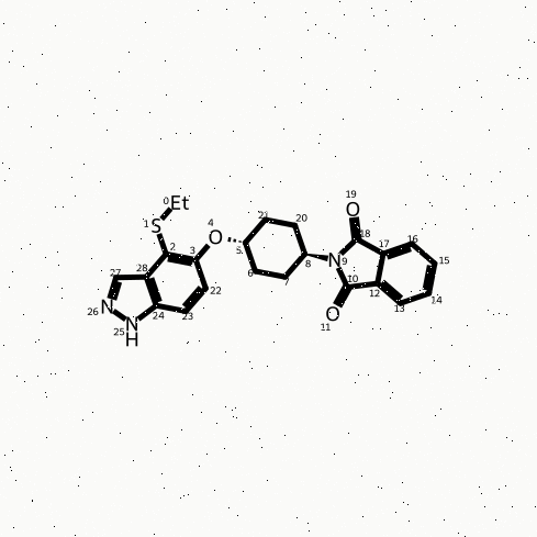 CCSc1c(O[C@H]2CC[C@H](N3C(=O)c4ccccc4C3=O)CC2)ccc2[nH]ncc12